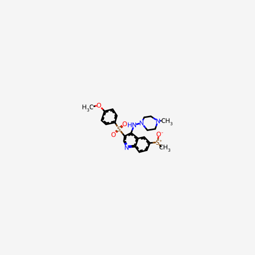 COc1ccc(S(=O)(=O)c2cnc3ccc([S+](C)[O-])cc3c2NN2CCN(C)CC2)cc1